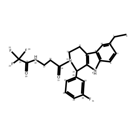 CCc1ccc2[nH]c3c(c2c1)CCN(C(=O)CCNC(=O)C(F)(F)F)C3c1cccc(F)c1